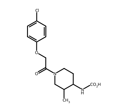 CC1CN(C(=O)COc2ccc(Cl)cc2)CCC1NC(=O)O